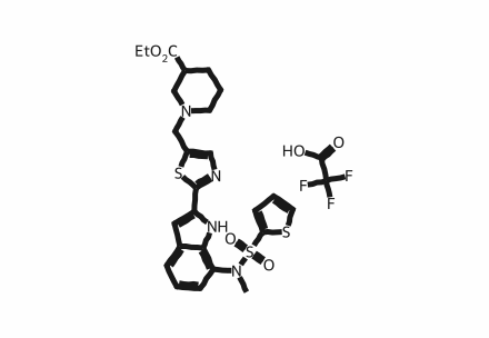 CCOC(=O)C1CCCN(Cc2cnc(-c3cc4cccc(N(C)S(=O)(=O)c5cccs5)c4[nH]3)s2)C1.O=C(O)C(F)(F)F